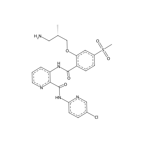 C[C@@H](CN)COc1cc(S(C)(=O)=O)ccc1C(=O)Nc1cccnc1C(=O)Nc1ccc(Cl)cn1